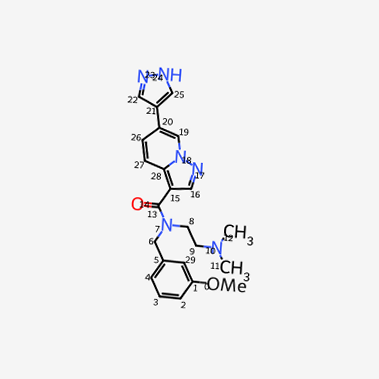 COc1cccc(CN(CCN(C)C)C(=O)c2cnn3cc(-c4cn[nH]c4)ccc23)c1